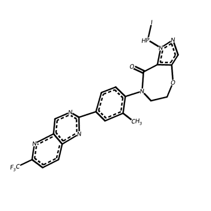 Cc1cc(-c2ncc3nc(C(F)(F)F)ccc3n2)ccc1N1CCOc2cnn(PI)c2C1=O